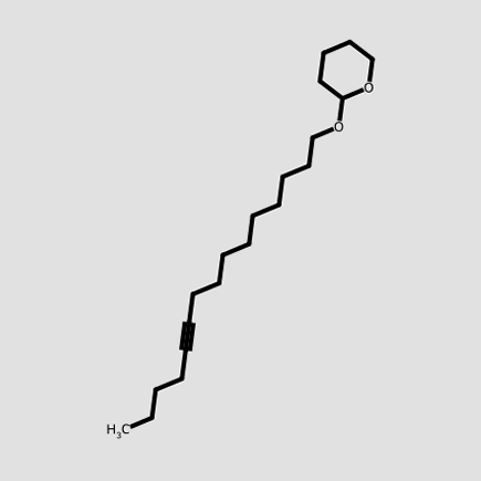 CCCCC#CCCCCCCCCCOC1CCCCO1